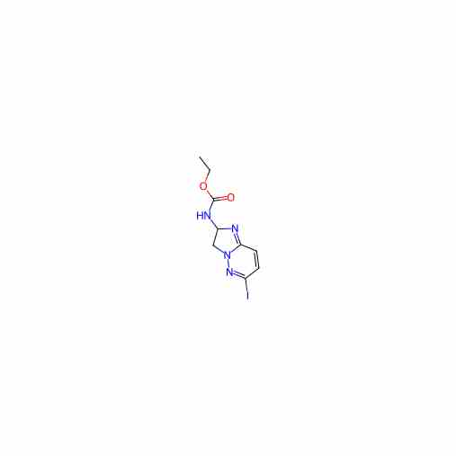 CCOC(=O)NC1CN2N=C(I)C=CC2=N1